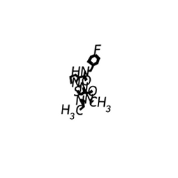 CCc1nc2sc(N3CCCC3C(=O)NCc3ccc(F)cc3)nc2c(=O)n1C